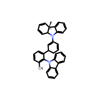 C[C@]12C=CC=CC1N(C1=CC(c3cccc(C#N)c3-n3c4ccccc4c4ccccc43)CC=C1)c1ccccc12